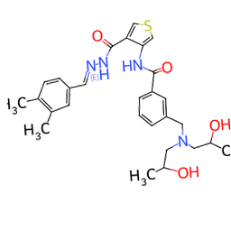 Cc1ccc(/C=N/NC(=O)c2cscc2NC(=O)c2cccc(CN(CC(C)O)CC(C)O)c2)cc1C